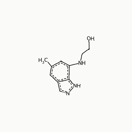 Cc1cc(NCCO)c2[nH]ncc2c1